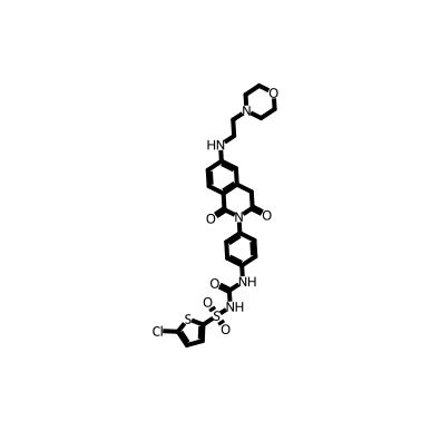 O=C(Nc1ccc(N2C(=O)Cc3cc(NCCN4CCOCC4)ccc3C2=O)cc1)NS(=O)(=O)c1ccc(Cl)s1